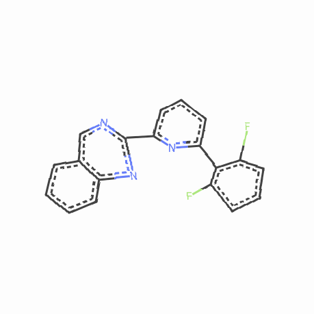 Fc1cccc(F)c1-c1cccc(-c2ncc3ccccc3n2)n1